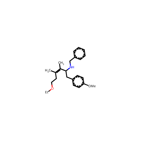 CCOCCC(C)=C(C)C(Cc1ccc(OC)cc1)NCc1ccccc1